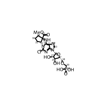 COC(=O)C1(Nc2nc(Cl)nc3c2ncn3[C@@H]2O[C@H](COCP(=O)(O)O)[C@@H](O)[C@H]2O)CCCC1